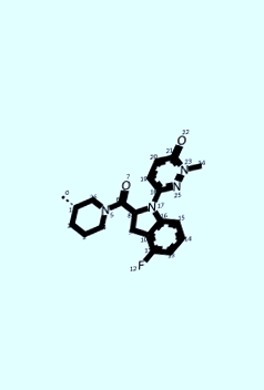 C[C@H]1CCCN(C(=O)C2Cc3c(F)cccc3N2c2ccc(=O)n(C)n2)C1